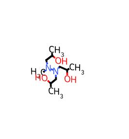 CC(O)CN(C)N(CC(C)O)CC(C)O